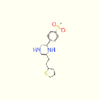 CS(=O)(=O)c1ccc(C2CNCC(CCC3CCCS3)N2)cc1